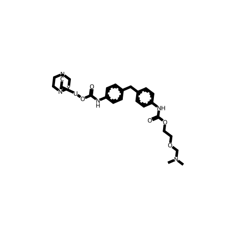 CN(C)COCCOC(=O)Nc1ccc(Cc2ccc(NC(=O)[O][U][CH]3CN4CC[N]3[Y][CH2]4)cc2)cc1